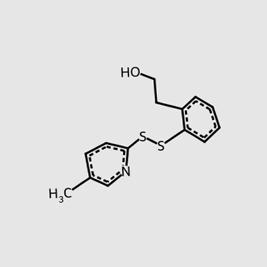 Cc1ccc(SSc2ccccc2CCO)nc1